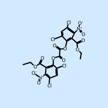 CCOC(=O)c1c(OC(=O)C(=O)Oc2c(Cl)cc(Cl)c([N+](=O)[O-])c2C(=O)OCC)c(Cl)cc(Cl)c1[N+](=O)[O-]